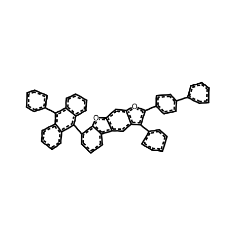 c1ccc(-c2ccc(-c3oc4cc5oc6c(-c7c8ccccc8c(-c8ccccc8)c8ccccc78)cccc6c5cc4c3-c3ccccc3)cc2)cc1